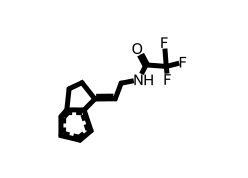 O=C(NCC=C1CCc2ccccc21)C(F)(F)F